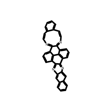 c1ccc2ccnc3c4cccc5c6nc7cc8ccccc8cc7nc6c6cccc(c3nccc2c1)c6c45